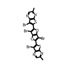 Cc1cnc2c(Br)c(-c3oc4c(Br)c(-c5sc6nc(C)cnc6c5Br)oc4c3Br)sc2n1